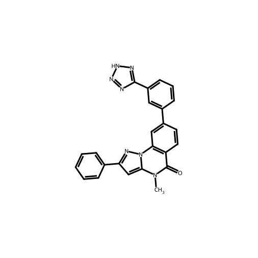 Cn1c(=O)c2ccc(-c3cccc(-c4nn[nH]n4)c3)cc2n2nc(-c3ccccc3)cc12